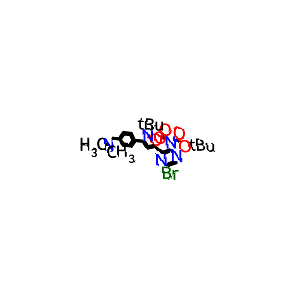 CN(C)Cc1ccc(-c2cc(-c3nc(Br)cnc3N(C(=O)OC(C)(C)C)C(=O)OC(C)(C)C)on2)cc1